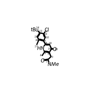 CNC(=O)Cc1c(C)[nH]c(-c2cc(Cl)c(C(C)(C)C)cc2C)cc1=O